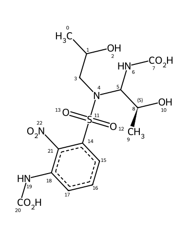 CC(O)CN(C(NC(=O)O)[C@H](C)O)S(=O)(=O)c1cccc(NC(=O)O)c1[N+](=O)[O-]